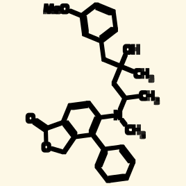 COc1cccc(CC(C)(O)CC(C)N(C)c2ccc3c(c2-c2ccccc2)COC3=O)c1